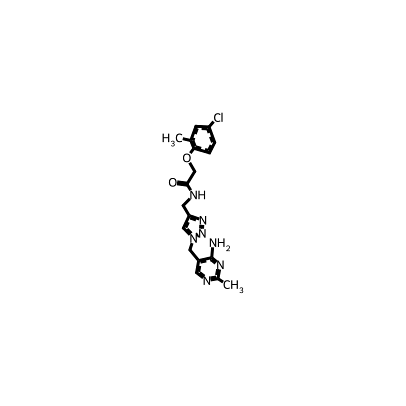 Cc1ncc(Cn2cc(CNC(=O)COc3ccc(Cl)cc3C)nn2)c(N)n1